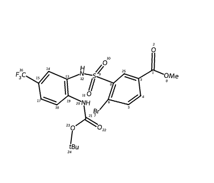 COC(=O)c1ccc(Br)c(S(=O)(=O)Nc2cc(C(F)(F)F)ccc2NC(=O)OC(C)(C)C)c1